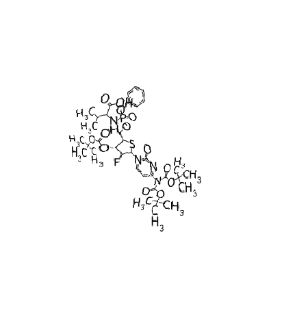 CC(C)C(NP(=O)(OC[C@H]1SC(n2ccc(N(C(=O)OC(C)(C)C)C(=O)OC(C)(C)C)nc2=O)[C@@H](F)[C@@H]1OC(=O)OC(C)(C)C)Oc1ccccc1)C(=O)O